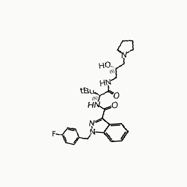 CC(C)(C)[C@H](NC(=O)c1nn(Cc2ccc(F)cc2)c2ccccc12)C(=O)NC[C@H](O)CN1CCCC1